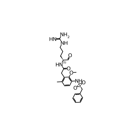 COc1c(NS(=O)(=O)Cc2ccccc2)ccc(C)c1CC(=O)N[C@H](C=O)CCCNC(=N)N